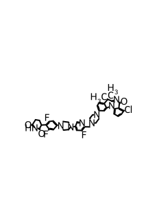 CC1(C)c2ccc(N3CCN(Cc4ncc(N5CCN(c6cc(F)c(C7CCC(=O)NC7=O)c(F)c6)CC5)cc4F)CC3)cc2-n2c1nc(=O)c1c(Cl)cccc12